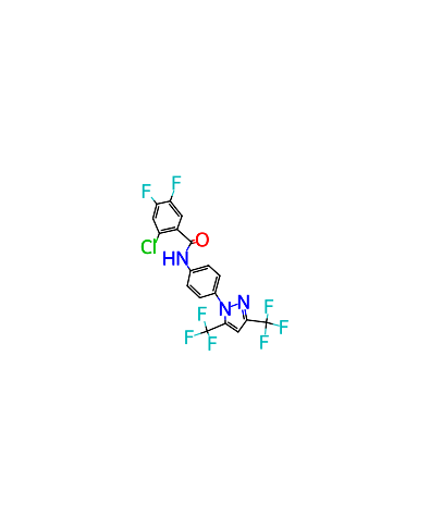 O=C(Nc1ccc(-n2nc(C(F)(F)F)cc2C(F)(F)F)cc1)c1cc(F)c(F)cc1Cl